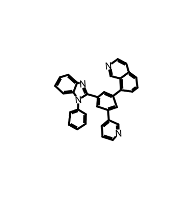 c1ccc(-n2c(-c3cc(-c4cccnc4)cc(-c4cccc5ccncc45)c3)nc3ccccc32)cc1